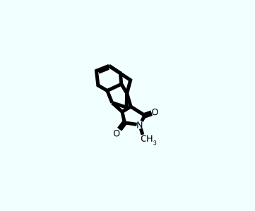 CN1C(=O)C2C3CC4(CC5=CCC3C4C5)C2C1=O